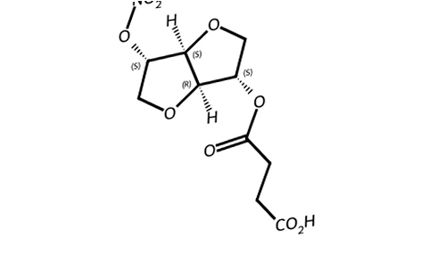 O=C(O)CCC(=O)O[C@H]1CO[C@H]2[C@@H]1OC[C@@H]2O[N+](=O)[O-]